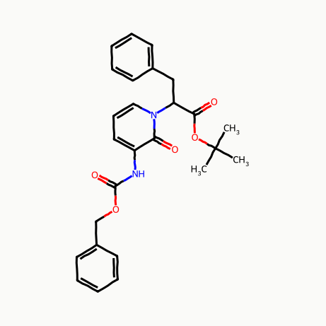 CC(C)(C)OC(=O)C(Cc1ccccc1)n1cccc(NC(=O)OCc2ccccc2)c1=O